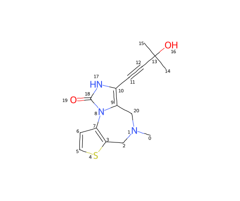 CN1Cc2sccc2-n2c(c(C#CC(C)(C)O)[nH]c2=O)C1